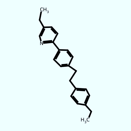 CCc1ccc(CCc2ccc(-c3ccc(CC)cn3)cc2)cc1